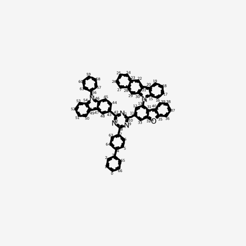 c1ccc(-c2ccc(-c3nc(-c4cc(-n5c6ccccc6c6cc7ccccc7cc65)c5c(c4)oc4ccccc45)nc(-c4ccc5c(c4)c4ccccc4n5-c4ccccc4)n3)cc2)cc1